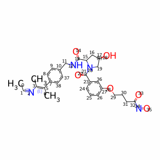 C/C=N\C(C)=C(/C)c1ccc(CNC(=O)C2C[C@@H](O)CN2C(=O)c2cccc(OCCCC(=O)N=O)c2)cc1